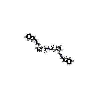 O=C(/C=C/C(=O)Oc1nccn1C/C=C/c1cc2ccccc2o1)Oc1nccn1C/C=C/c1cc2ccccc2o1